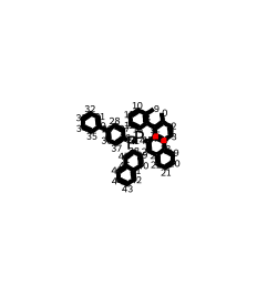 Cc1ccc[c]c1-c1c(C)cccc1P(c1ccc2ccccc2c1)P(c1ccc(-c2ccccc2)cc1)c1ccc2ccccc2c1